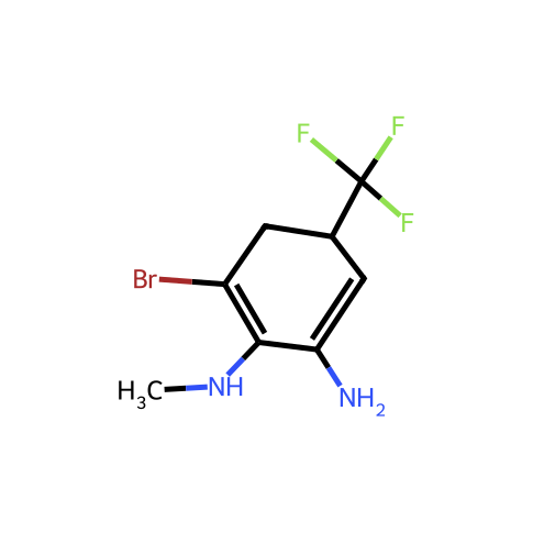 CNC1=C(Br)CC(C(F)(F)F)C=C1N